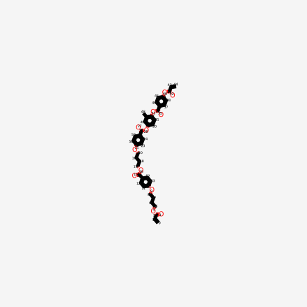 C=CC(=O)OCCCCOc1ccc(C(=O)OCCCCOc2ccc(C(=O)Oc3ccc(OC(=O)c4ccc(OC(=O)C=C)cc4)c(C)c3)cc2)cc1